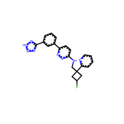 FC1CC(CNc2ccc(-c3cccc(-c4nn[nH]n4)c3)nn2)(c2ccccn2)C1